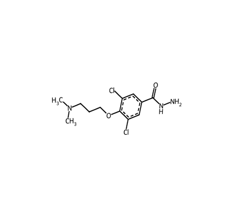 CN(C)CCCOc1c(Cl)cc(C(=O)NN)cc1Cl